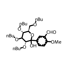 CCCCOC[C@H]1OC(O)(c2ccc(OC)c(C=O)c2)[C@H](OCCCC)C(OCCCC)[C@@H]1OCCCC